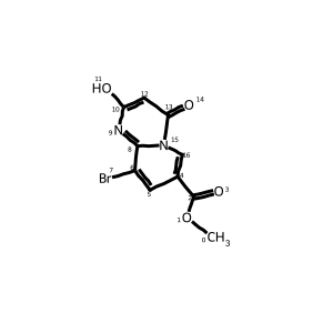 COC(=O)c1cc(Br)c2nc(O)cc(=O)n2c1